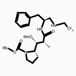 CO[C@H]([C@@H](C)C(=O)N[C@H](CNCC(F)(F)F)Cc1ccccc1)[C@@H]1CCCN1C(=O)OC(C)(C)C